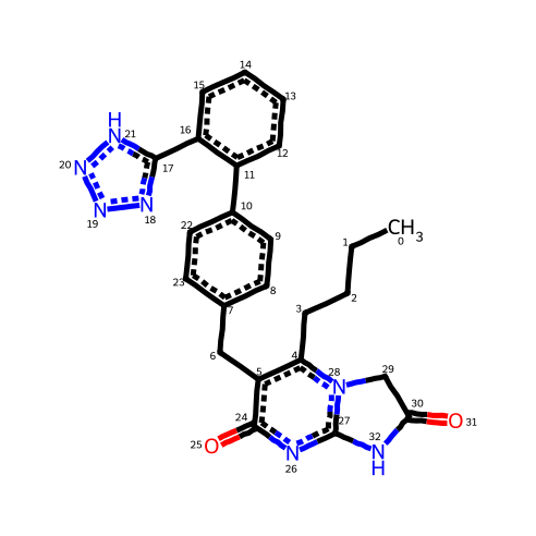 CCCCc1c(Cc2ccc(-c3ccccc3-c3nnn[nH]3)cc2)c(=O)nc2n1CC(=O)N2